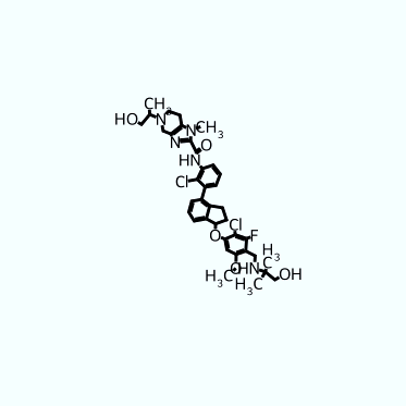 COc1cc(OC2CCc3c(-c4cccc(NC(=O)c5nc6c(n5C)CCN(C(C)CO)C6)c4Cl)cccc32)c(Cl)c(F)c1CNC(C)(C)CO